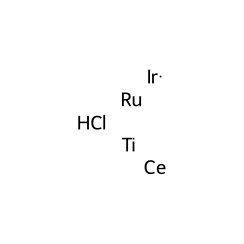 Cl.[Ce].[Ir].[Ru].[Ti]